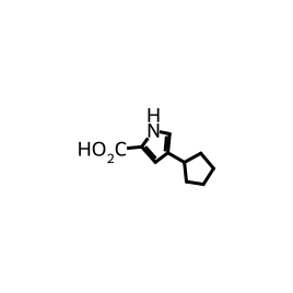 O=C(O)c1cc(C2CCCC2)c[nH]1